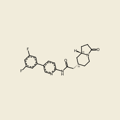 O=C(C[C@H]1CCN2C(=O)CC[C@H]2C1)Nc1ccc(-c2cc(F)cc(F)c2)cn1